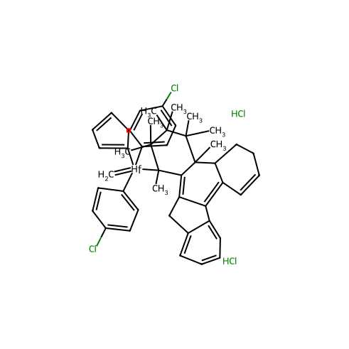 Cl.Cl.[CH2]=[Hf]([C]1=CC=CC1)([c]1ccc(Cl)cc1)([c]1ccc(Cl)cc1)[C]1(C)C2=C3Cc4ccccc4C3=C3C=CCCC3C2(C)C(C)(C)C(C)(C)C1(C)C